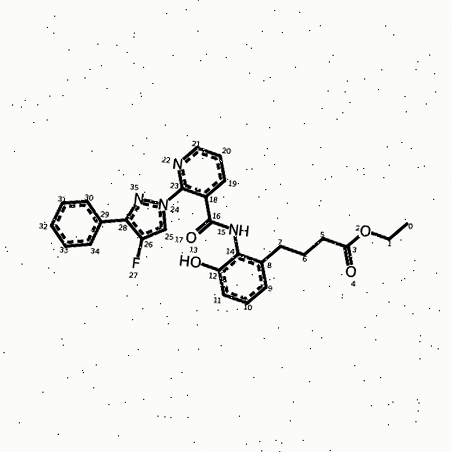 CCOC(=O)CCCc1cccc(O)c1NC(=O)c1cccnc1-n1cc(F)c(-c2ccccc2)n1